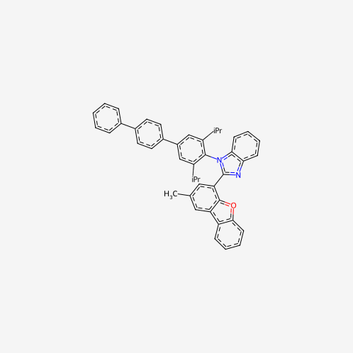 Cc1cc(-c2nc3ccccc3n2-c2c(C(C)C)cc(-c3ccc(-c4ccccc4)cc3)cc2C(C)C)c2oc3ccccc3c2c1